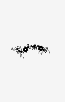 CC(C)(C)OC(=O)C(C)(C)Sc1ccc(C(=O)OCc2cn(Cc3ccc(C(C)(C)C)cc3)nn2)cc1